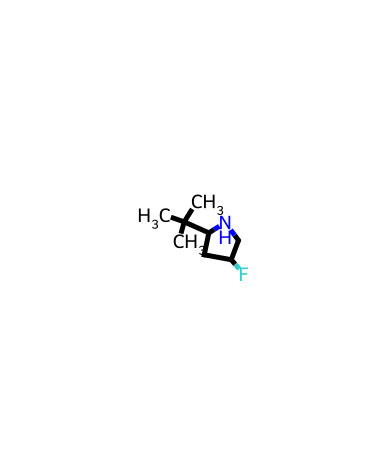 CC(C)(C)C1CC(F)CN1